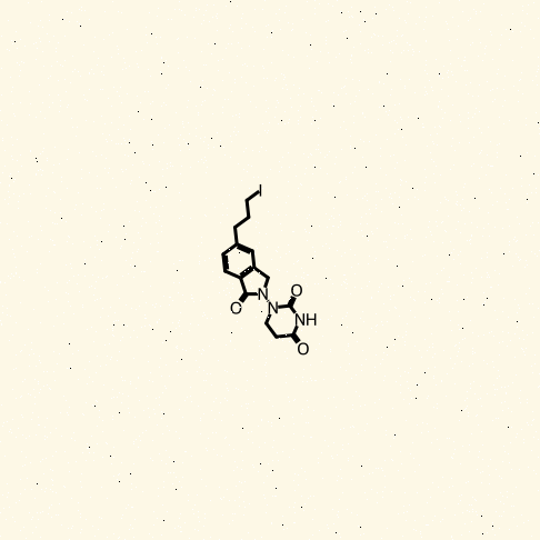 O=C1CCN(N2Cc3cc(CCCI)ccc3C2=O)C(=O)N1